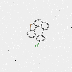 Clc1ccc(-c2cccc3ccc4sc5ccccc5c4c23)cc1